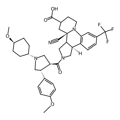 COc1ccc([C@@H]2CN([C@H]3CC[C@H](OC)CC3)C[C@H]2C(=O)N2CC3[C@H](C2)c2ccc(C(F)(F)F)cc2N2CCC(C(=O)O)C[C@@]32C#N)cc1